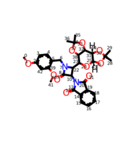 COc1ccc(CN2C(=O)C(N3C(=O)c4ccccc4C3=O)C2C2O[C@H]3OC(C)(C)O[C@H]3C3OC(C)(C)OC23)c(OC)c1